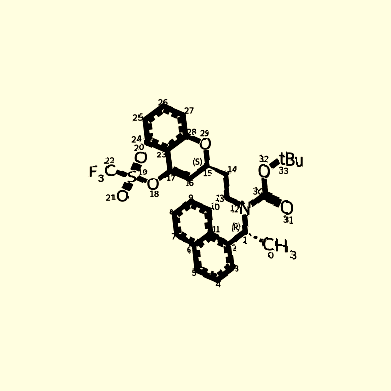 C[C@H](c1cccc2ccccc12)N(CC[C@H]1C=C(OS(=O)(=O)C(F)(F)F)c2ccccc2O1)C(=O)OC(C)(C)C